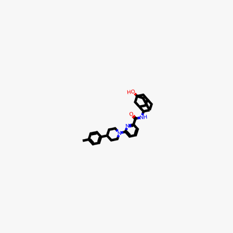 Cc1ccc(C2CCN(c3cccc(C(=O)NC4C5CC6CC4CC(O)(C6)C5)n3)CC2)cc1